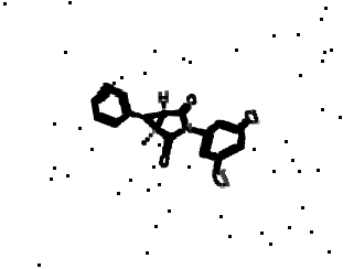 C[C@@]12C(=O)N(c3cc(Cl)cc(Cl)c3)C(=O)[C@@H]1[C@@H]2c1ccccc1